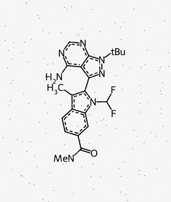 CNC(=O)c1ccc2c(C)c(-c3nn(C(C)(C)C)c4ncnc(N)c34)n(C(F)F)c2c1